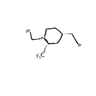 CC(C)CN1CC[C@H](CBr)C[C@@H]1C(F)(F)F